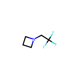 FC(F)(F)CN1CCC1